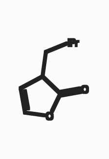 CC(C)CC1C=COC1=O